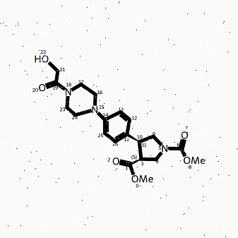 COC(=O)[C@@H]1CN(C(=O)OC)C[C@@H]1c1ccc(N2CCN(C(=O)CO)CC2)cc1